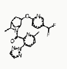 Cc1ccc(-n2nccn2)c(C(=O)N2C(C)C3CC(Oc4ccc(C(F)F)cn4)C2C3)n1